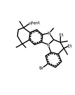 CCCCCC1(C)CCC(C)(C)c2cc3c(cc21)N(C)C1N3c2cc(Br)ccc2C(C)(CC)C1(C)CC